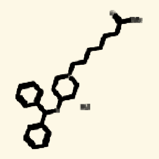 COC(=O)CCCCCCN1CCC(OC(c2ccccc2)c2ccccc2)CC1.Cl